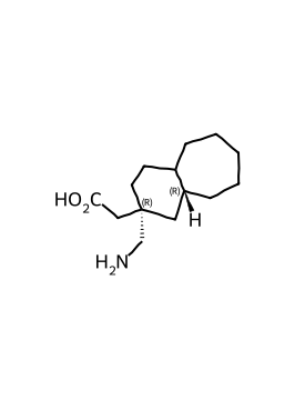 NC[C@]1(CC(=O)O)CCC2CCCCC[C@@H]2C1